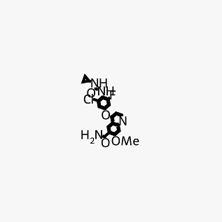 COc1cc2nccc(Oc3cc(F)c(NC(=O)NC4CC4)c(Cl)c3)c2cc1C(N)=O